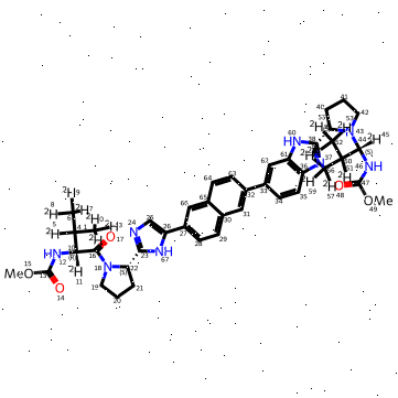 [2H]C([2H])([2H])C([2H])(C([2H])([2H])[2H])[C@@]([2H])(NC(=O)OC)C(=O)N1CCC[C@H]1c1ncc(-c2ccc3cc(-c4ccc5nc([C@@H]6CCCN6[C@]([2H])(NC(=O)OC)C([2H])(C([2H])([2H])[2H])C([2H])([2H])[2H])[nH]c5c4)ccc3c2)[nH]1